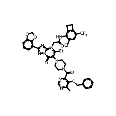 CCc1c(N2CCN(C(=O)c3ncnc(C)c3OCc3ccccc3)CC2)c(=O)n2nc(-c3cccc4c3OCO4)nc2n1CC(=O)Nc1c(Cl)cc(C(F)(F)F)c2c1CC2